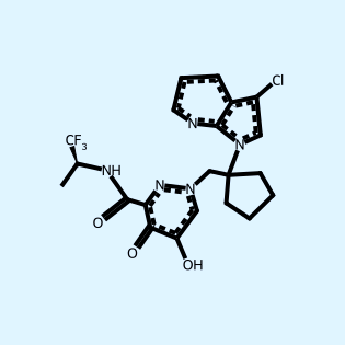 C[C@H](NC(=O)c1nn(CC2(n3cc(Cl)c4cccnc43)CCCC2)cc(O)c1=O)C(F)(F)F